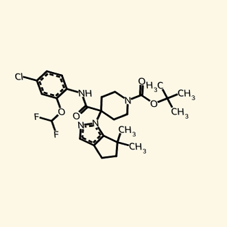 CC(C)(C)OC(=O)N1CCC(C(=O)Nc2ccc(Cl)cc2OC(F)F)(n2ncc3c2C(C)(C)CC3)CC1